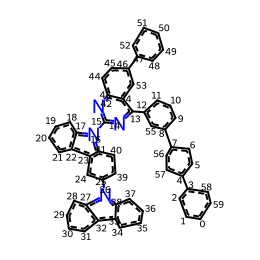 c1ccc(-c2ccc(-c3cccc(-c4nc(-n5c6ccccc6c6cc(-n7c8ccccc8c8ccccc87)ccc65)nc5ccc(-c6ccccc6)cc45)c3)cc2)cc1